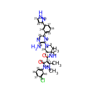 Cc1c(C(=O)NC2(C)CCN(c3nc(-c4cccc(-c5cc[nH]n5)c4)cnc3N)CC2)c(=O)n(-c2cccc(Cl)c2)n1C